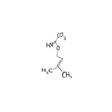 CC(C)=CCOC(=N)C(Cl)(Cl)Cl